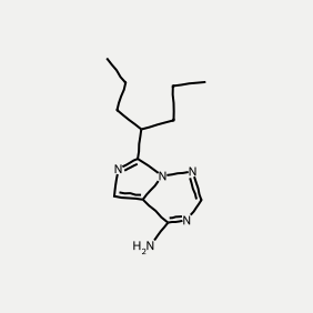 CCCC(CCC)c1ncc2c(N)ncnn12